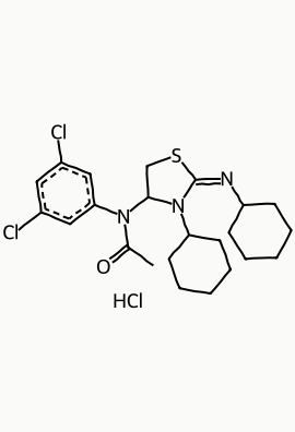 CC(=O)N(c1cc(Cl)cc(Cl)c1)C1CSC(=NC2CCCCC2)N1C1CCCCC1.Cl